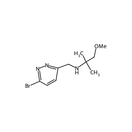 COCC(C)(C)NCc1ccc(Br)nn1